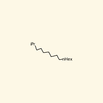 CC[CH]CCCCCCCCCCC(C)C